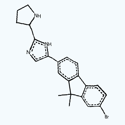 CC1(C)c2cc(Br)ccc2-c2ccc(-c3cnc(C4CCCN4)[nH]3)cc21